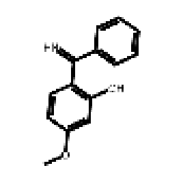 COc1ccc(C(=N)c2ccccc2)c(O)c1